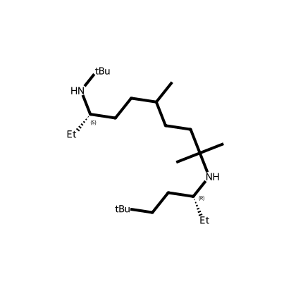 CC[C@@H](CCC(C)CCC(C)(C)N[C@H](CC)CCC(C)(C)C)NC(C)(C)C